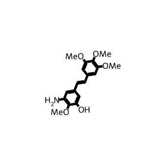 COc1cc(C=Cc2cc(N)c(OC)c(O)c2)cc(OC)c1OC